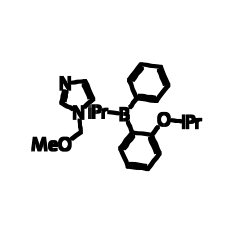 CC(C)Oc1ccccc1B(c1ccccc1)C(C)C.COCn1ccnc1